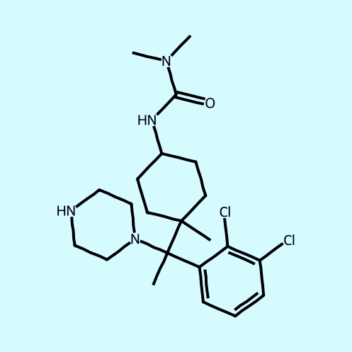 CN(C)C(=O)NC1CCC(C)(C(C)(c2cccc(Cl)c2Cl)N2CCNCC2)CC1